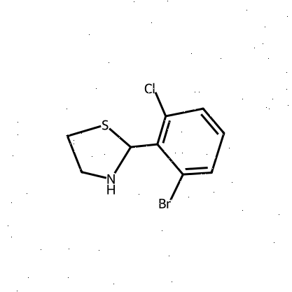 Clc1cccc(Br)c1C1NCCS1